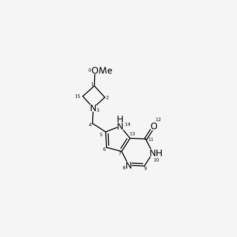 COC1CN(Cc2cc3nc[nH]c(=O)c3[nH]2)C1